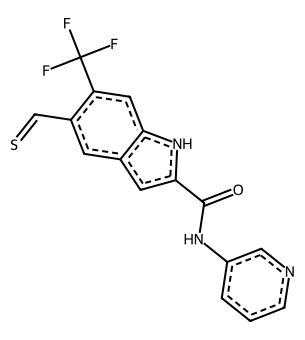 O=C(Nc1cccnc1)c1cc2cc(C=S)c(C(F)(F)F)cc2[nH]1